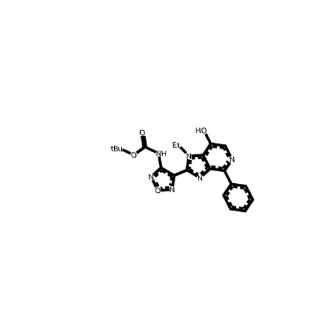 CCn1c(-c2nonc2NC(=O)OC(C)(C)C)nc2c(-c3ccccc3)ncc(O)c21